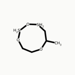 CC1C[SiH2]O[SiH2]OCCO1